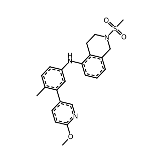 COc1ccc(-c2cc(Nc3cccc4c3CCN(S(C)(=O)=O)C4)ccc2C)cn1